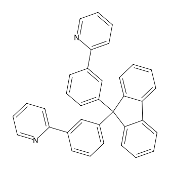 c1ccc(-c2cccc(C3(c4cccc(-c5ccccn5)c4)c4ccccc4-c4ccccc43)c2)nc1